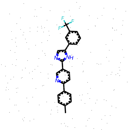 Cc1ccc(-c2ccc(-c3ncc(-c4cccc(C(F)(F)F)c4)[nH]3)cn2)cc1